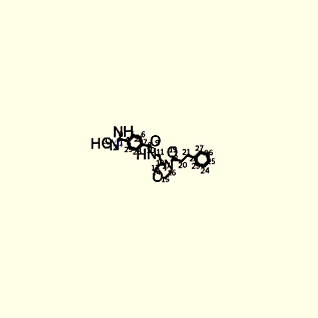 N/C(=N\O)c1ccc(C(=O)NCC2COCCN2C(=O)CCc2ccccc2)cc1